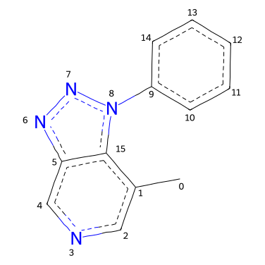 Cc1cncc2nnn(-c3ccccc3)c12